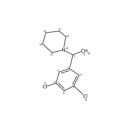 CC(c1cc(Cl)cc(Cl)c1)N1CCCCC1